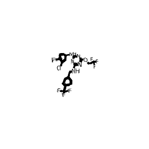 Fc1ccc(Nc2nc(NCc3ccc(C(F)(F)F)cc3)nc(OCC(F)(F)F)n2)cc1Cl